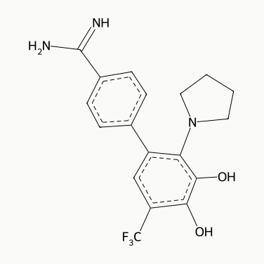 N=C(N)c1ccc(-c2cc(C(F)(F)F)c(O)c(O)c2N2CCCC2)cc1